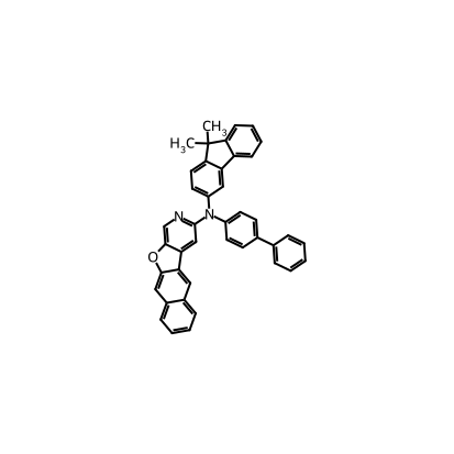 CC1(C)c2ccccc2-c2cc(N(c3ccc(-c4ccccc4)cc3)c3cc4c(cn3)oc3cc5ccccc5cc34)ccc21